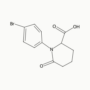 O=C(O)C1CCCC(=O)N1c1ccc(Br)cc1